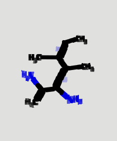 C=C(N)/C(N)=C(C)\C(C)=C/C